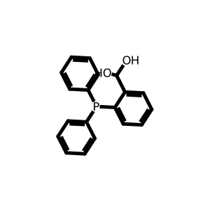 OC(O)c1ccccc1P(c1ccccc1)c1ccccc1